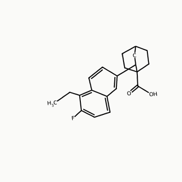 CCc1c(F)ccc2cc(C3CC4CCC3(C(=O)O)CC4)ccc12